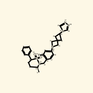 C[C@H]1CCC(c2ccccc2)S(=O)(=O)N1Cc1ccc(N2CC3(CC(n4cnnc4)C3)C2)cc1F